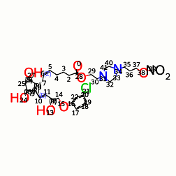 O=C(CCC/C=C\C[C@@H]1[C@@H](/C=C/[C@@H](O)COc2cccc(Cl)c2)[C@H](O)C[C@@H]1O)OCCN1CCN(CCCO[N+](=O)[O-])CC1